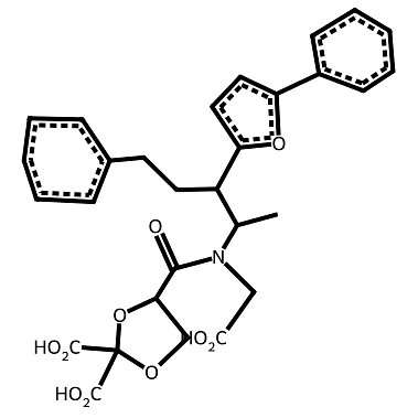 CC(C(CCc1ccccc1)c1ccc(-c2ccccc2)o1)N(CC(=O)O)C(=O)C1COC(C(=O)O)(C(=O)O)O1